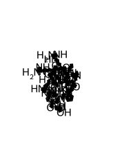 CCCC[C@H](NC(=O)[C@H](CCCNC(=N)N)NC(=O)[C@H](CCCNC(=N)N)NC(=O)[C@H](CCCNC(=N)N)NC(=O)CN)C(=O)N[C@H](CCCCN)C(=O)N[C@@H](Cc1c[nH]cn1)C(=O)NCC(=O)N1CCC[C@H]1C(=O)N[C@@H](CC(N)=O)C(=O)N[C@@H](CCCCN)C(=O)NCC(=O)O